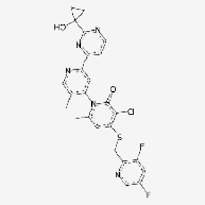 Cc1cnc(-c2ccnc(C3(O)CC3)n2)cc1-n1c(C)cc(SCc2ncc(F)cc2F)c(Cl)c1=O